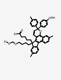 CCOCOCCCCC1(CCCCC(=O)CC)c2cc(C)ccc2-c2c1c1c(c3cc(C)ccc23)OC(c2ccc(C)cc2)(c2ccc(OC)cc2)C=C1